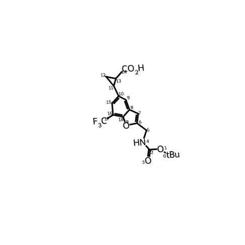 CC(C)(C)OC(=O)NCc1cc2cc(C3CC3C(=O)O)cc(C(F)(F)F)c2o1